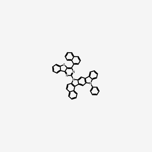 c1ccc(-n2c3ccccc3c3cc4c(cc32)c2c3ccccc3ccc2n4-c2nc(-c3cccc4ccccc34)c3sc4ccccc4c3n2)cc1